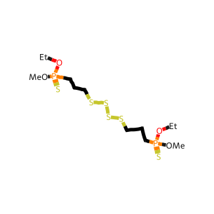 CCOP(=S)(CCCSSSSCCCP(=S)(OC)OCC)OC